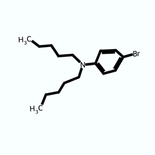 CCCCCN(CCCCC)c1ccc(Br)cc1